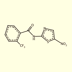 O=C(Nc1ncc([N+](=O)[O-])s1)c1ccccc1C(F)(F)F